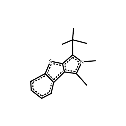 Cc1c2c(sc3ccccc32)c(C(C)(C)C)n1C